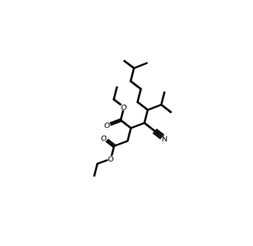 CCOC(=O)CC(C(=O)OCC)C(C#N)C(CCCC(C)C)C(C)C